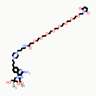 CCOCc1nc2c(N)nc3cc(CCCN4CCN(CCCCNC(=O)CCOCCOCCOCCOCCOCCOCCOCCOCCN5C(=O)C=CC5=O)CC4)ccc3c2n1CC(C)(CO)CO